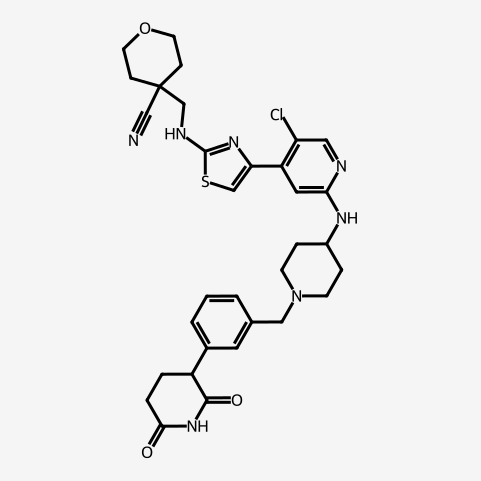 N#CC1(CNc2nc(-c3cc(NC4CCN(Cc5cccc(C6CCC(=O)NC6=O)c5)CC4)ncc3Cl)cs2)CCOCC1